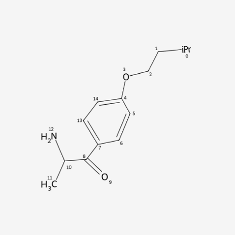 CC(C)CCOc1ccc(C(=O)C(C)N)cc1